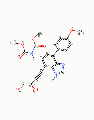 Cn1cnc2c(-c3ccc(OC(F)(F)F)cc3)cc(CN(C(=O)OC(C)(C)C)C(=O)OC(C)(C)C)c(C#C[C@@H](O)CO)c21